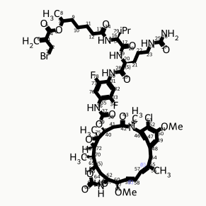 C=C(CBr)C(=O)OC(C)CCCCC(=O)N[C@H](C(=O)N[C@@H](CCCNC(N)=O)C(=O)Nc1cc(F)c(NC(=O)O[C@H]2CC(=O)N(C)c3cc(cc(OC)c3Cl)C/C(C)=C/C=C/[C@@H](OC)[C@@]3(O)C[C@H](OC(=O)N3)[C@@H](C)[C@@H]3O[C@@]23C)cc1F)C(C)C